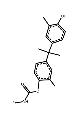 CCNC(=O)Oc1ccc(C(C)(C)c2ccc(O)c(C)c2)cc1C